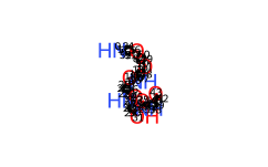 CNc1ccc(Oc2ccc(Oc3ccc(NC(=O)c4cccc(C(=O)Nc5ccc(O)c(NC(=O)c6cccc(C(C)=O)c6)c5)c4)cc3)cc2)cc1